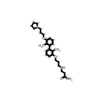 Cc1c(OCCCNCCC(N)=O)cccc1-c1cccc(OCCCN2CCCC2)c1C